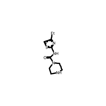 CCc1csc(NC(=O)N2CCNCC2)n1